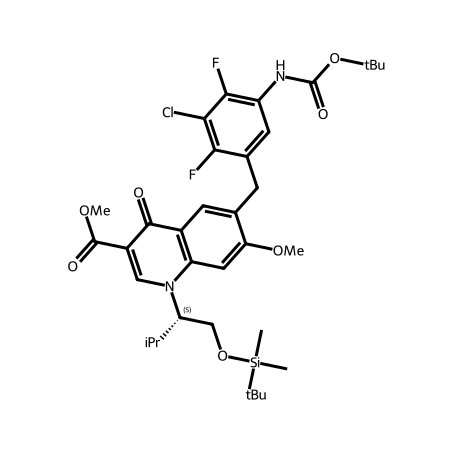 COC(=O)c1cn([C@H](CO[Si](C)(C)C(C)(C)C)C(C)C)c2cc(OC)c(Cc3cc(NC(=O)OC(C)(C)C)c(F)c(Cl)c3F)cc2c1=O